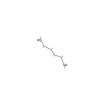 SCCC[CH2][Sn]